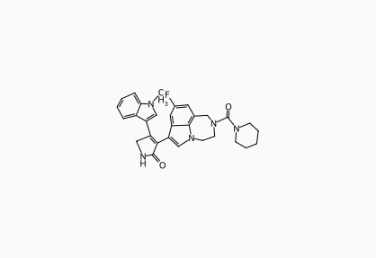 Cn1cc(C2=C(c3cn4c5c(cc(F)cc35)CN(C(=O)N3CCCCC3)CC4)C(=O)NC2)c2ccccc21